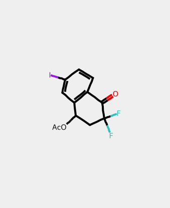 CC(=O)OC1CC(F)(F)C(=O)c2ccc(I)cc21